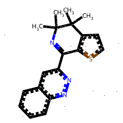 CC1(C)N=C(c2cc3ccccc3nn2)c2sccc2C1(C)C